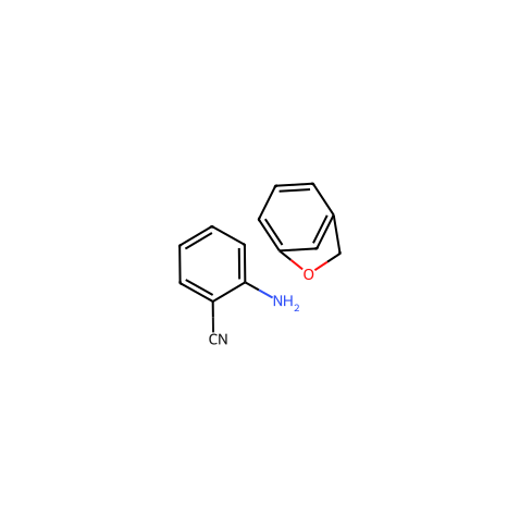 N#Cc1ccccc1N.c1cc2cc(c1)OC2